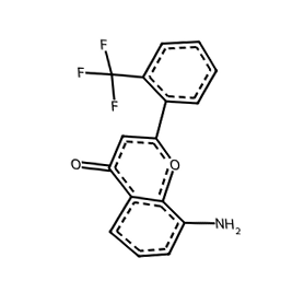 Nc1cccc2c(=O)cc(-c3ccccc3C(F)(F)F)oc12